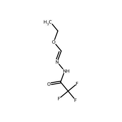 CCOC=NNC(=O)C(F)(F)F